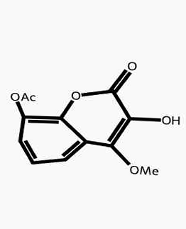 COc1c(O)c(=O)oc2c(OC(C)=O)cccc12